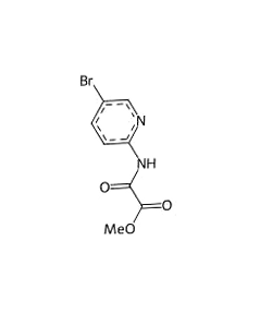 COC(=O)C(=O)Nc1ccc(Br)cn1